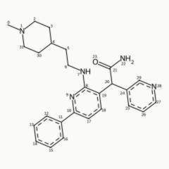 CN1CCC(CCNc2nc(-c3ccccc3)ccc2C(C(N)=O)c2cccnc2)CC1